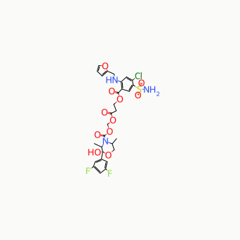 CC1CO[C@@](O)(c2cc(F)cc(F)c2)C(C)N1C(=O)OCOC(=O)CCOC(=O)c1cc(S(N)(=O)=O)c(Cl)cc1NCc1ccco1